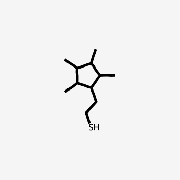 CC1C(C)C(C)C(CCS)C1C